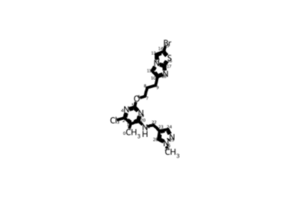 Cc1c(Cl)nc(OCCCc2cn3cc(Br)sc3n2)nc1NCc1cnn(C)c1